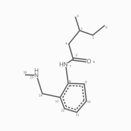 CCC(C)CC(=O)Nc1ccccc1CNC